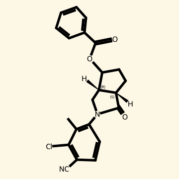 Cc1c(N2C[C@@H]3C(OC(=O)c4ccccc4)CC[C@@H]3C2=O)ccc(C#N)c1Cl